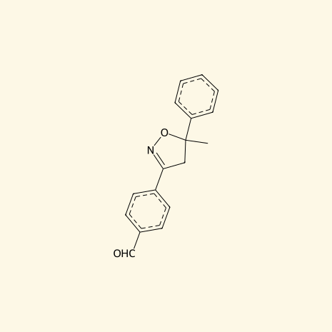 CC1(c2ccccc2)CC(c2ccc(C=O)cc2)=NO1